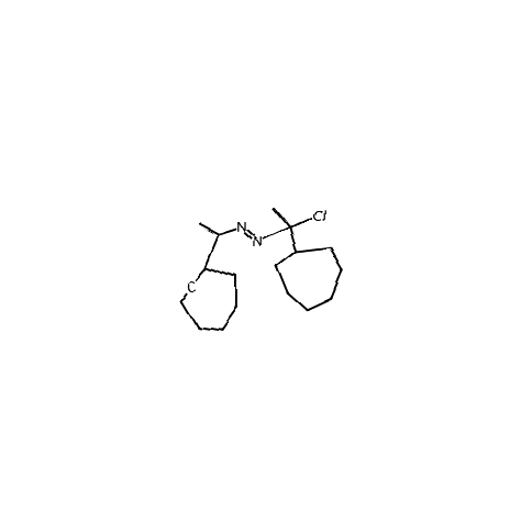 CC(/N=N/C(C)(Cl)C1CCCCCC1)C1CCCCCC1